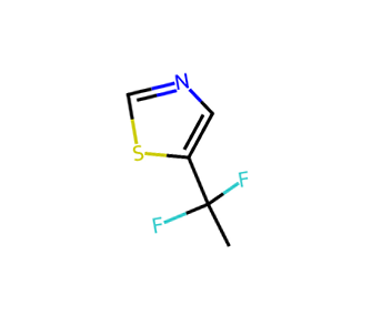 CC(F)(F)c1cncs1